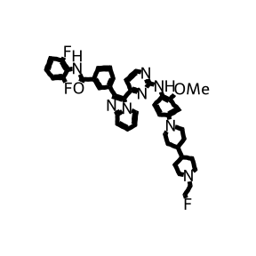 COc1cc(N2CCC(C3CCN(CCF)CC3)CC2)ccc1Nc1nccc(-c2c(-c3cccc(C(=O)Nc4c(F)cccc4F)c3)nc3ccccn23)n1